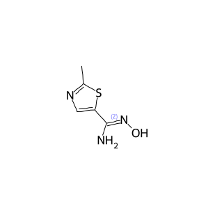 Cc1ncc(/C(N)=N/O)s1